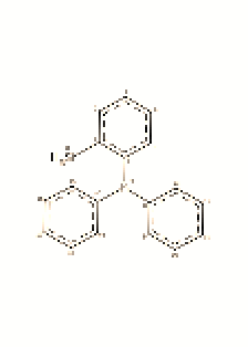 [SiH3]c1ccccc1P(c1ccccc1)c1ccccc1